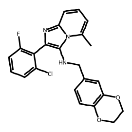 Cc1cccc2nc(-c3c(F)cccc3Cl)c(NCc3ccc4c(c3)OCCO4)n12